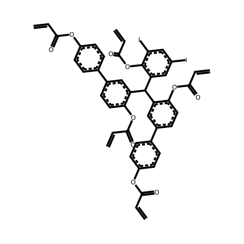 C=CC(=O)Oc1ccc(-c2ccc(OC(=O)C=C)c(C(c3cc(-c4ccc(OC(=O)C=C)cc4)ccc3OC(=O)C=C)c3cc(I)cc(I)c3OC(=O)C=C)c2)cc1